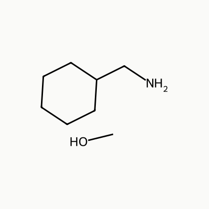 CO.NCC1CCCCC1